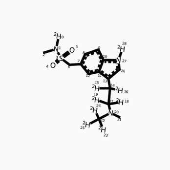 [2H]N(C)S(=O)(=O)Cc1ccc2c(c1)c(C([2H])([2H])C([2H])([2H])N(C)C([2H])([2H])[2H])cn2[2H]